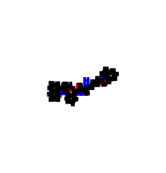 C[C@@H](NC(=O)c1ccccc1CNC(=O)C(=O)NCC/C=C/C(=O)n1ccc2ccccc21)c1cccc2ccccc12